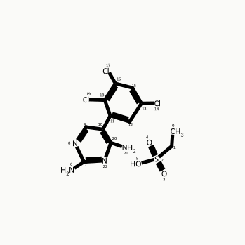 CCS(=O)(=O)O.Nc1ncc(-c2cc(Cl)cc(Cl)c2Cl)c(N)n1